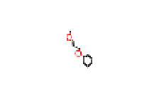 COC=CCOc1ccccc1